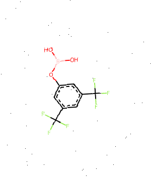 OB(O)Oc1cc(C(F)(F)F)cc(C(F)(F)F)c1